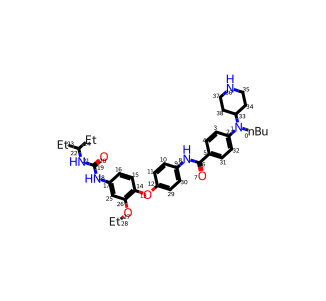 CCCCN(c1ccc(C(=O)Nc2ccc(Oc3ccc(NC(=O)NC(CC)CC)cc3OCC)cc2)cc1)C1CCNCC1